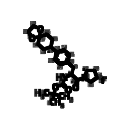 CC(C)(C)OC(=O)N[C@@H](Cc1ccc(C2CCC3(CC2)OCCO3)cc1)C(=O)N1CC[C@H](F)C1